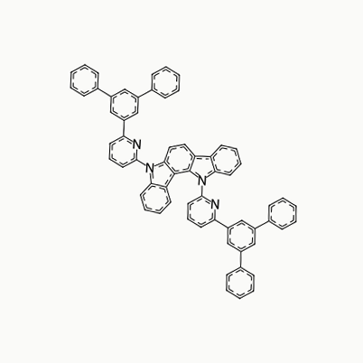 c1ccc(-c2cc(-c3ccccc3)cc(-c3cccc(-n4c5ccccc5c5c4ccc4c6ccccc6n(-c6cccc(-c7cc(-c8ccccc8)cc(-c8ccccc8)c7)n6)c45)n3)c2)cc1